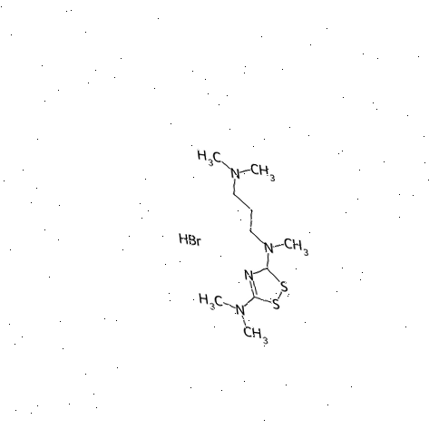 Br.CN(C)CCCN(C)C1N=C(N(C)C)SS1